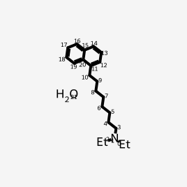 CCN(CC)CCCCCCCCc1cccc2ccccc12.O